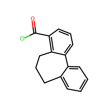 O=C(Cl)c1cccc2c1CCCc1ccccc1-2